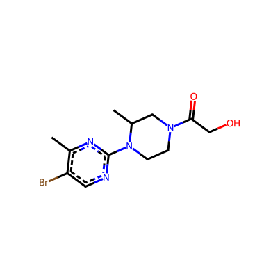 Cc1nc(N2CCN(C(=O)CO)CC2C)ncc1Br